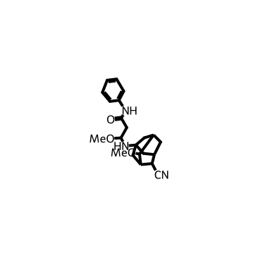 COC(CC(=O)Nc1ccccc1)NC12CC3CC(C1)C(OC)C(C2)C3C#N